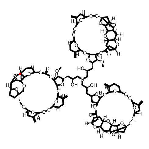 C=C1C[C@@H]2CC[C@@]34C[C@H]5OC6[C@@H](O[C@H]7CC[C@H](CC(=O)C[C@@H]8CC(C[C@H](O)CN(C[C@@H](O)C[C@H]9OC%10C[C@H]%11O[C@H](CCC%11=C)CC[C@@H]%11O[C@@H](CC[C@]%12%13CC[C@H](O%12)C%12O[C@H]%14CC[C@H](CC(=O)C[C@@H]%10[C@H]9OC)O[C@@H]%14[C@H](OC%13)C%12O)CC%11=C)C[C@@H](O)C[C@H]9OC%10C[C@H]%11O[C@H](CCC%11=C)CC[C@@H]%11O[C@@H](CC[C@@]%12%13C[C@H]%14OC%15[C@@H](O[C@H]%16CC[C@H](CC(=O)C[C@@H]%10[C@H]9OC)O[C@@H]%16[C@@H]%15O%12)[C@H]%14O%13)CC%11=C)O[C@H]8C[C@H]8OC(CCC8=C)CCC1O2)O[C@@H]7[C@@H]6O3)[C@H]5O4